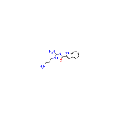 NCCCNC(N)=NC(=O)c1cc2ccccc2[nH]1